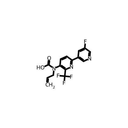 C=CCN(C(=O)O)c1ccc(-c2cncc(F)c2)nc1C(F)(F)F